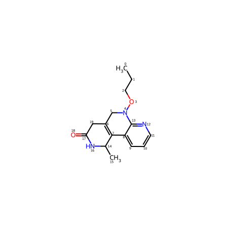 CCCON1CC2=C(c3cccnc31)C(C)NC(=O)C2